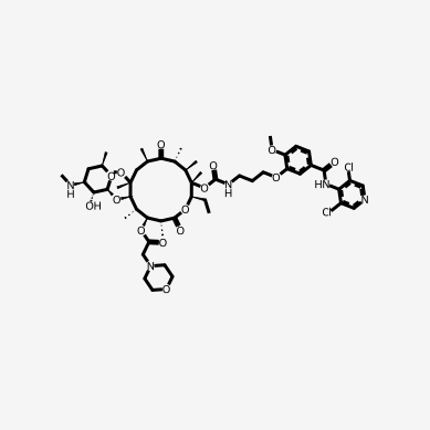 CC[C@H]1OC(=O)[C@H](C)[C@@H](OC(=O)CN2CCOCC2)[C@H](C)[C@@H](O[C@@H]2O[C@H](C)C[C@H](NC)[C@H]2O)[C@](C)(OC)C[C@@H](C)C(=O)[C@H](C)[C@@H](C)[C@]1(C)OC(=O)NCCCOc1cc(C(=O)Nc2c(Cl)cncc2Cl)ccc1OC